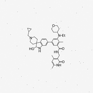 CCN(c1cc(-c2ccc3c(c2)NC(O)C32CCN(CC3CC3)CC2)cc(C(=O)NCc2c(C)cc(C)[nH]c2=O)c1C)C1CCOCC1